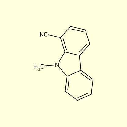 Cn1c2ccccc2c2cccc(C#N)c21